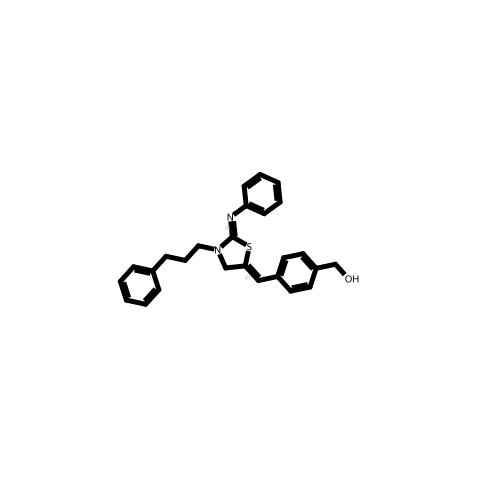 OCc1ccc(/C=C2/CN(CCCc3ccccc3)/C(=N/c3ccccc3)S2)cc1